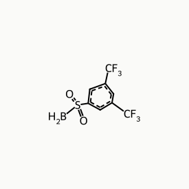 BS(=O)(=O)c1cc(C(F)(F)F)cc(C(F)(F)F)c1